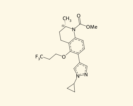 COC(=O)N1c2ccc(-c3cnn(C4CC4)c3)c(OCCC(F)(F)F)c2CC[C@@H]1C